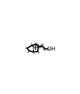 CN1C2CCC1CC(CCO)C2